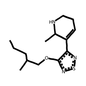 CCCC(C)COc1nsnc1C1=CCCNC1C